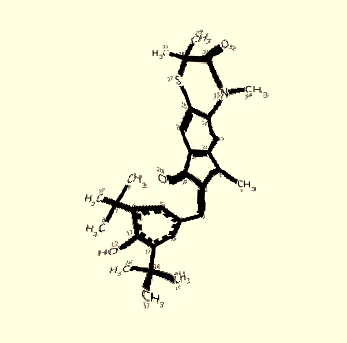 CC1C(=Cc2cc(C(C)(C)C)c(O)c(C(C)(C)C)c2)C(=O)C2=C1CC1C(=C2)SC(C)(C)C(=O)N1C